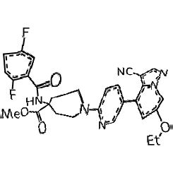 CCOc1cc(-c2ccc(N3CCC(NC(=O)c4cc(F)ccc4F)(C(=O)OC)CC3)nc2)c2c(C#N)cnn2c1